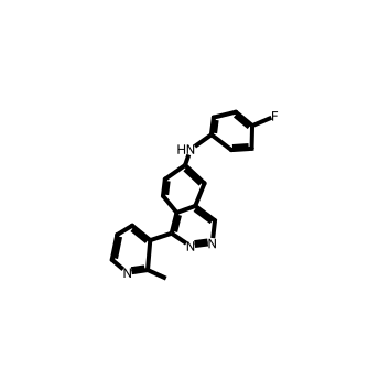 Cc1ncccc1-c1nncc2cc(Nc3ccc(F)cc3)ccc12